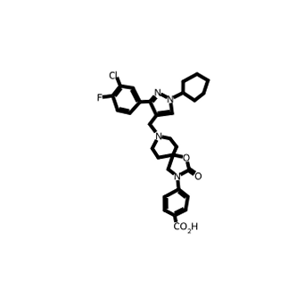 O=C(O)c1ccc(N2CC3(CCN(Cc4cn(C5CCCCC5)nc4-c4ccc(F)c(Cl)c4)CC3)OC2=O)cc1